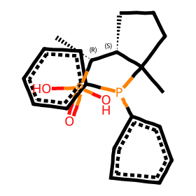 C[C@H]([C@@H]1CCCC1(C)P(c1ccccc1)c1ccccc1)P(=O)(O)O